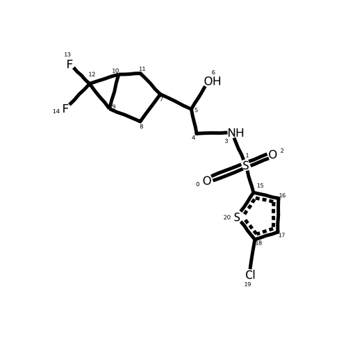 O=S(=O)(NCC(O)C1CC2C(C1)C2(F)F)c1ccc(Cl)s1